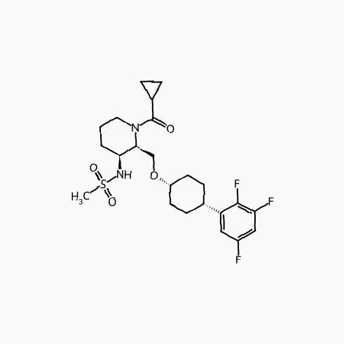 CS(=O)(=O)N[C@H]1CCCN(C(=O)C2CC2)[C@H]1CO[C@H]1CC[C@@H](c2cc(F)cc(F)c2F)CC1